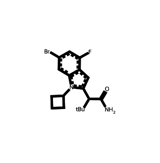 CC(C)(C)C(C(N)=O)c1cc2c(F)cc(Br)cc2n1C1CCC1